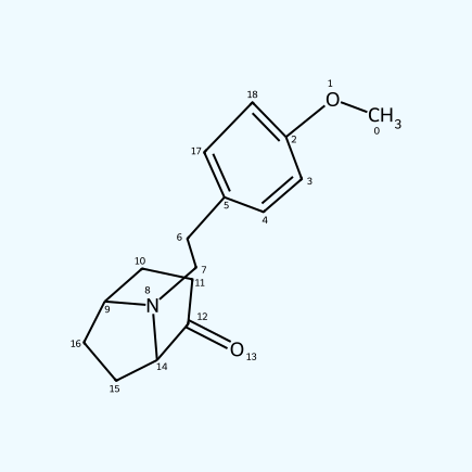 COc1ccc(CCN2C3CCC(=O)C2CC3)cc1